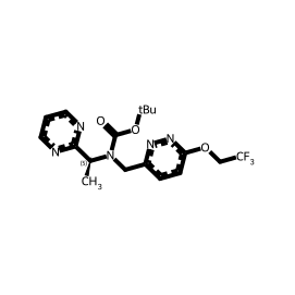 C[C@@H](c1ncccn1)N(Cc1ccc(OCC(F)(F)F)nn1)C(=O)OC(C)(C)C